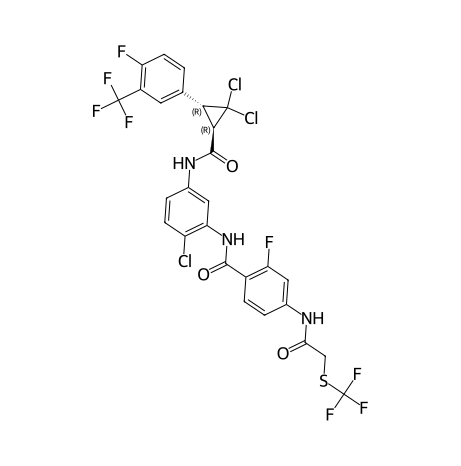 O=C(CSC(F)(F)F)Nc1ccc(C(=O)Nc2cc(NC(=O)[C@H]3[C@H](c4ccc(F)c(C(F)(F)F)c4)C3(Cl)Cl)ccc2Cl)c(F)c1